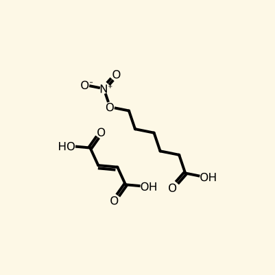 O=C(O)C=CC(=O)O.O=C(O)CCCCCO[N+](=O)[O-]